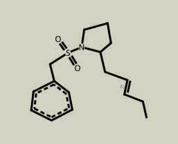 CC/C=C/CC1CCCN1S(=O)(=O)Cc1ccccc1